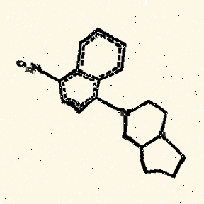 O=[N+]([O-])c1ccc(N2CCN3CCCC3C2)c2ccccc12